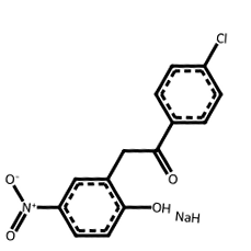 O=C(Cc1cc([N+](=O)[O-])ccc1O)c1ccc(Cl)cc1.[NaH]